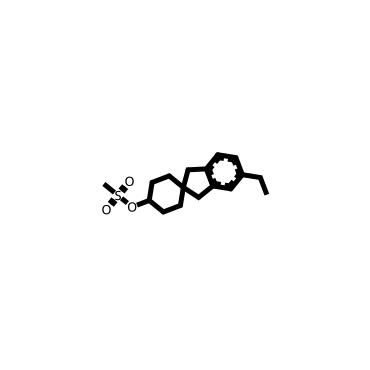 CCc1ccc2c(c1)CC1(CCC(OS(C)(=O)=O)CC1)C2